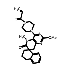 C=CC(=O)N1CCN(c2nc(OC)nc3c2N(C)C(=O)C2(CCCc4ccccc42)C3)CC1